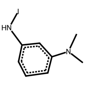 CN(C)c1cccc(NI)c1